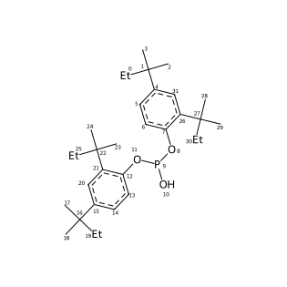 CCC(C)(C)c1ccc(OP(O)Oc2ccc(C(C)(C)CC)cc2C(C)(C)CC)c(C(C)(C)CC)c1